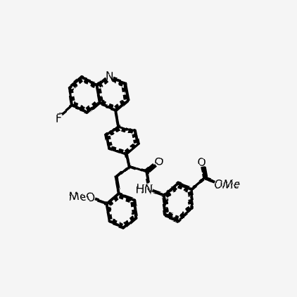 COC(=O)c1cccc(NC(=O)C(Cc2ccccc2OC)c2ccc(-c3ccnc4ccc(F)cc34)cc2)c1